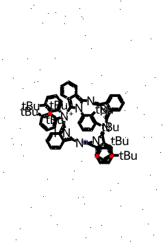 CC(C)(C)c1cccc(-n2c3c4ccccc4c2[N+](c2cccc(C(C)(C)C)c2C(C)(C)C)(c2cccc(C(C)(C)C)c2C(C)(C)C)c2[nH]c(c4ccccc24)/N=c2/c4ccccc4c(n2-c2cccc(C(C)(C)C)c2C(C)(C)C)=NC2=NC(=N3)c3ccccc32)c1C(C)(C)C